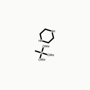 C1CNCCN1.CO[Si](C)(OC)OC